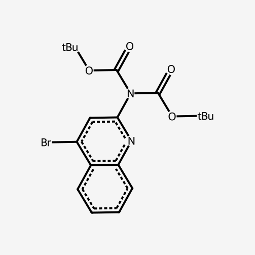 CC(C)(C)OC(=O)N(C(=O)OC(C)(C)C)c1cc(Br)c2ccccc2n1